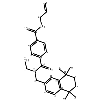 C=CCOC(=O)c1ccc(C(=O)N(CO)Cc2ccc3c(c2)C(C)(C)CCC3(C)C)cc1